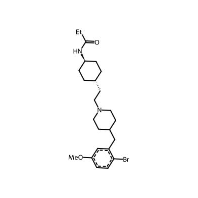 CCC(=O)N[C@H]1CC[C@H](CCN2CCC(Cc3cc(OC)ccc3Br)CC2)CC1